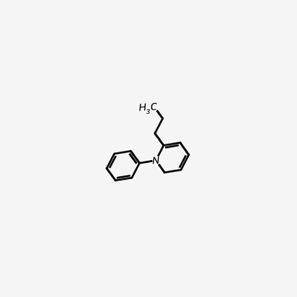 CCCC1=CC=CCN1c1ccccc1